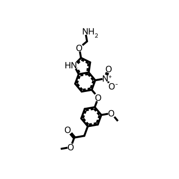 COC(=O)Cc1ccc(Oc2ccc3[nH]c(OCN)cc3c2[N+](=O)[O-])c(OC)c1